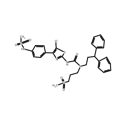 CS(=O)(=O)CCCN(CCC(c1ccccc1)c1ccccc1)C(=O)Nc1nc(-c2ccc(NS(C)(=O)=O)cc2)c(Cl)s1